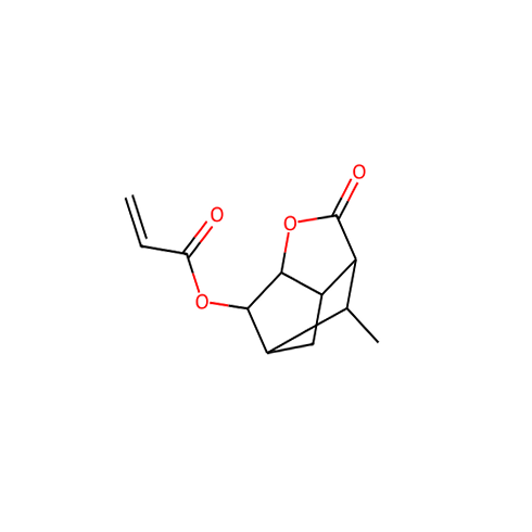 C=CC(=O)OC1C2CC3C1OC(=O)C3C2C